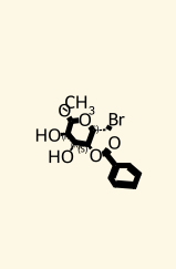 COC1O[C@H](CBr)[C@@H](OC(=O)c2ccccc2)[C@H](O)[C@H]1O